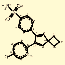 NS(=O)(=O)c1ccc(C2=CC3(C=C2c2ccc(Cl)cn2)CCC3)cc1